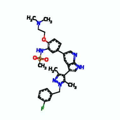 Cc1nn(Cc2cccc(F)c2)c(C)c1-c1c[nH]c2ncc(-c3ccc(OCCN(C)C)c(NS(C)(=O)=O)c3)cc12